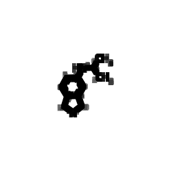 CC(C)Nc1ccc2c(c1)C[N]C2